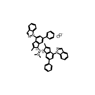 CC1=Cc2c(cc(-c3ccccc3)cc2-n2ncc3ccccc32)[C@@H]1[Zr+2]([C@H]1C(C)=Cc2c1cc(-c1ccccc1)cc2-n1ncc2ccccc21)=[Si](C)C.[Cl-].[Cl-]